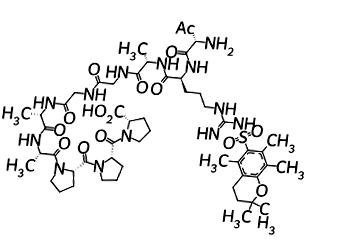 CC(=O)[C@H](N)C(=O)N[C@@H](CCCNC(=N)NS(=O)(=O)c1c(C)c(C)c2c(c1C)CCC(C)(C)O2)C(=O)N[C@@H](C)C(=O)NCC(=O)NCC(=O)N[C@@H](C)C(=O)N[C@@H](C)C(=O)N1CCC[C@H]1C(=O)N1CCC[C@H]1C(=O)N1CCC[C@H]1C(=O)O